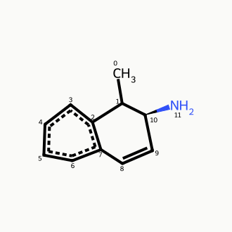 CC1c2ccccc2C=C[C@@H]1N